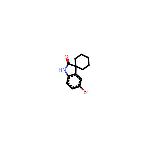 O=C1Nc2ccc(Br)cc2C12CCCCC2